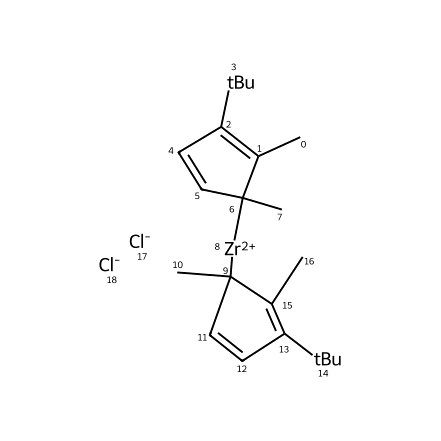 CC1=C(C(C)(C)C)C=C[C]1(C)[Zr+2][C]1(C)C=CC(C(C)(C)C)=C1C.[Cl-].[Cl-]